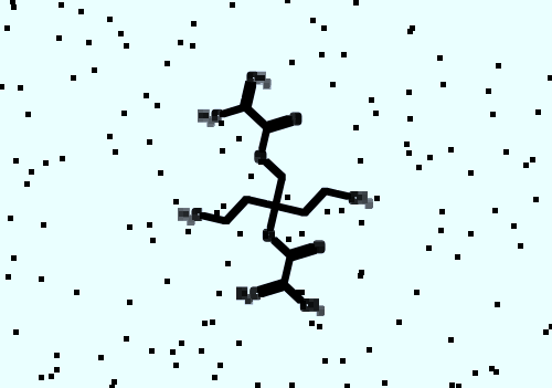 C=C(C)C(=O)OCC(CCC)(CCC)OC(=O)C(=C)C